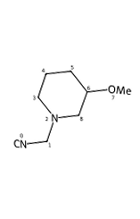 [C-]#[N+]CN1CCCC(OC)C1